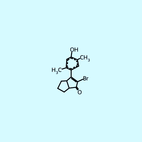 Cc1cc(C2=C(Br)C(=O)C3CCCC23)c(C)cc1O